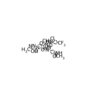 Cc1ncnc(C(=O)N2CCC3(CC2)O[C@H](C)c2c3c(=O)n3nc(-c4ccc(S(C)(=N)=O)cc4)nc3n2CC(=O)Nc2ccc(C(F)(F)F)cc2Cl)c1O